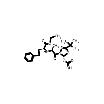 CCOC(=O)[C@H](CCc1ccccc1)N[C@@H](C)C(=O)N1N=C(C(C)(C)C)S[C@@H]1OC(=O)O